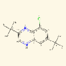 CC(C)(C)c1cc(Cl)c2nc(C(C)(C)C)cnc2c1